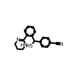 N#Cc1ccc(C(S)c2ccccc2C2=NCCCN2)cc1